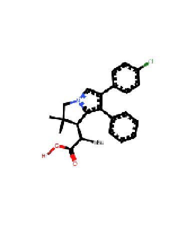 CCCCC(C(=O)OBr)C1c2c(-c3ccccc3)c(-c3ccc(Cl)cc3)cn2CC1(C)C